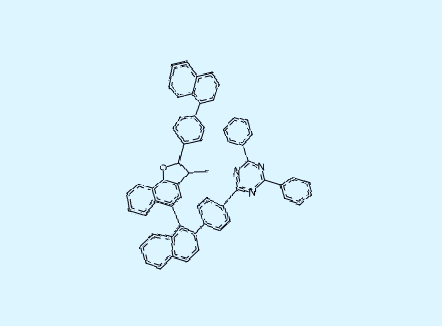 CC1c2cc(-c3c(-c4ccc(-c5nc(-c6ccccc6)nc(-c6ccccc6)n5)cc4)ccc4ccccc34)c3ccccc3c2OC1c1ccc(-c2cccc3ccccc23)cc1